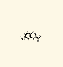 COc1ccc2c(c1)CN(C(C)C)CC2